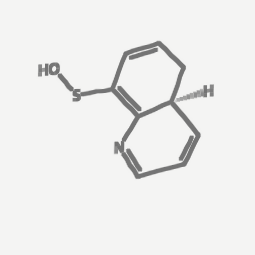 OSC1=C2N=CC=C[C@@H]2CC=C1